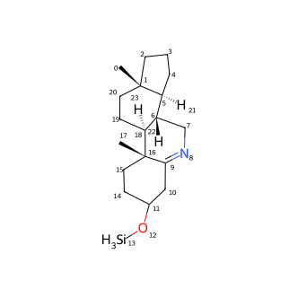 C[C@@]12CCC[C@H]1[C@@H]1CN=C3CC(O[SiH3])CC[C@]3(C)[C@H]1CC2